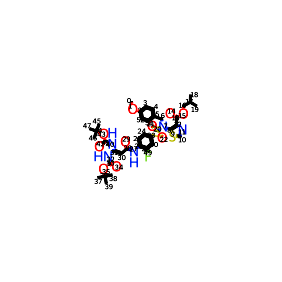 COc1ccc(CN(c2scnc2C(=O)OCC(C)C)S(=O)(=O)c2ccc(NC(=O)C=C(NC(=O)OC(C)(C)C)NC(=O)OC(C)(C)C)c(F)c2)cc1